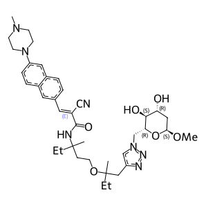 CCC(C)(CCOC(C)(CC)Cc1cn(C[C@H]2O[C@H](OC)C[C@@H](O)[C@@H]2O)nn1)NC(=O)/C(C#N)=C/c1ccc2cc(N3CCN(C)CC3)ccc2c1